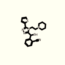 N#Cc1ccccc1C(S)c1nnc(-c2cccs2)n1CCN1CCCCC1